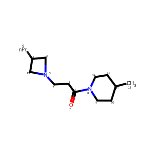 CCCC1CN(CCC(=O)N2CCC(C)CC2)C1